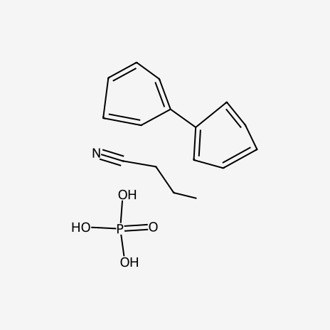 CCCC#N.O=P(O)(O)O.c1ccc(-c2ccccc2)cc1